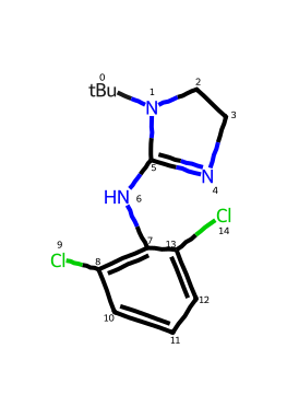 CC(C)(C)N1CCN=C1Nc1c(Cl)cccc1Cl